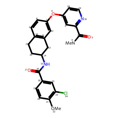 CNC(=O)c1cc(Oc2ccc3c(c2)CC(NC(=O)c2ccc(OC)c(Cl)c2)CC3)ccn1